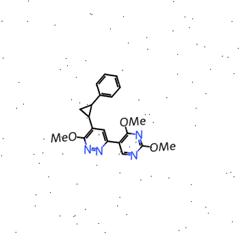 COc1ncc(-c2cc(C3CC3c3ccccc3)c(OC)nn2)c(OC)n1